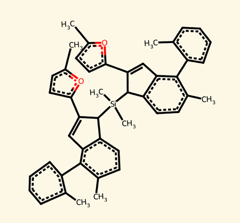 Cc1ccc(C2=Cc3c(ccc(C)c3-c3ccccc3C)C2[Si](C)(C)C2C(c3ccc(C)o3)=Cc3c2ccc(C)c3-c2ccccc2C)o1